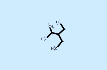 [CH2]CC(CC)C(C)C